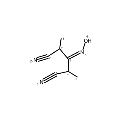 CC(C#N)C(=NO)C(C)C#N